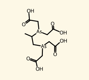 CC(C[As](CC(=O)O)CC(=O)O)[As](CC(=O)O)CC(=O)O